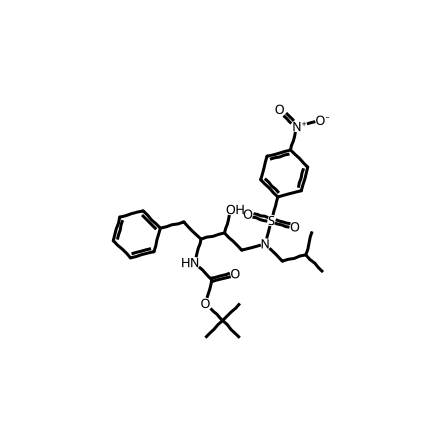 CC(C)CN(CC(O)C(Cc1ccccc1)NC(=O)OC(C)(C)C)S(=O)(=O)c1ccc([N+](=O)[O-])cc1